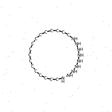 C1CCCCCCCCNNNNNNNNNCCCCCCCC1